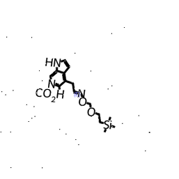 C[Si](C)(C)CCOCO/N=C/Cc1c(C(=O)O)ncc2[nH]ccc12